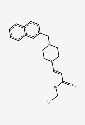 C=C(/C=C/N1CCN(Cc2ccc3ccccc3c2)CC1)NCC